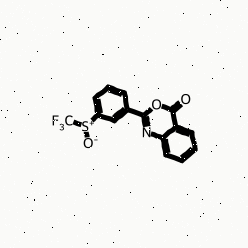 O=c1oc(-c2cccc([S+]([O-])C(F)(F)F)c2)nc2ccccc12